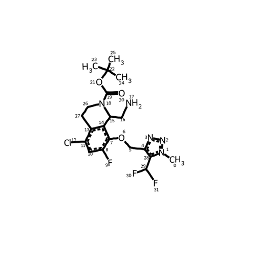 Cn1nnc(COc2c(F)cc(Cl)c3c2C(CN)N(C(=O)OC(C)(C)C)CC3)c1C(F)F